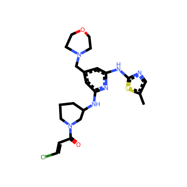 Cc1cnc(Nc2cc(CN3CCOCC3)cc(NC3CCCN(C(=O)C=CCl)C3)n2)s1